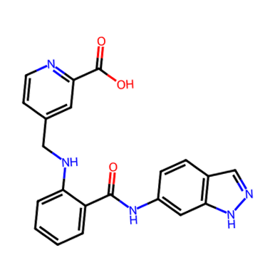 O=C(O)c1cc(CNc2ccccc2C(=O)Nc2ccc3cn[nH]c3c2)ccn1